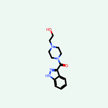 O=C(c1n[nH]c2ccccc12)N1CCN(CCO)CC1